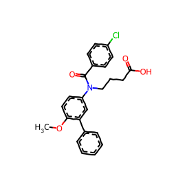 COc1ccc(N(CCCC(=O)O)C(=O)c2ccc(Cl)cc2)cc1-c1ccccc1